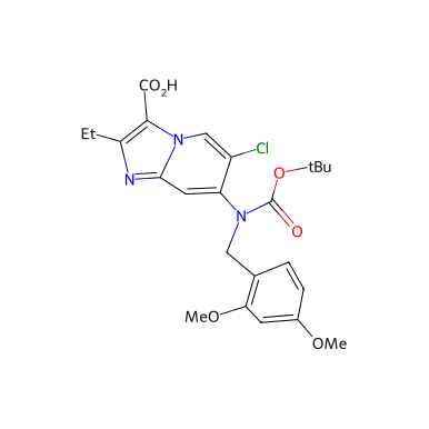 CCc1nc2cc(N(Cc3ccc(OC)cc3OC)C(=O)OC(C)(C)C)c(Cl)cn2c1C(=O)O